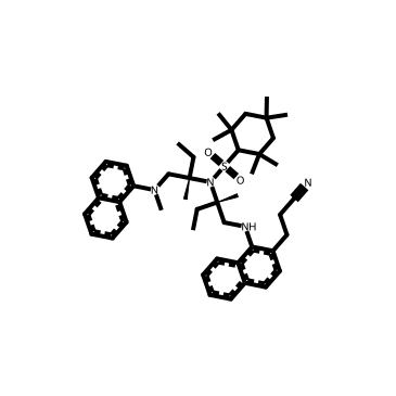 CC[C@@](C)(CNc1c(CCC#N)ccc2ccccc12)N([C@@](C)(CC)CN(C)c1cccc2ccccc12)S(=O)(=O)C1C(C)(C)CC(C)(C)CC1(C)C